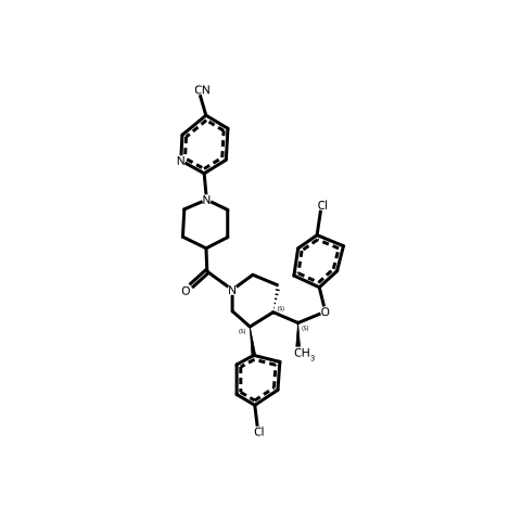 C[C@H](Oc1ccc(Cl)cc1)[C@H]1CCN(C(=O)C2CCN(c3ccc(C#N)cn3)CC2)C[C@@H]1c1ccc(Cl)cc1